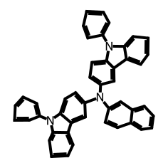 c1ccc(-n2c3ccccc3c3cc(N(c4ccc5ccccc5c4)c4ccc5c(c4)c4ccccc4n5-c4ccccc4)ccc32)cc1